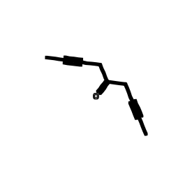 CC#CCC(=O)CC#CC